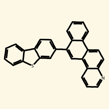 c1ccc2c(c1)sc1cc(-c3cc4c5cccnc5ccc4c4ccccc34)ccc12